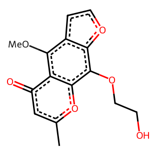 COc1c2ccoc2c(OCCO)c2oc(C)cc(=O)c12